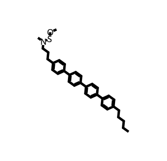 CCCCCc1ccc(-c2ccc(-c3ccc(-c4ccc(CCCN(C)SOC)cc4)cc3)cc2)cc1